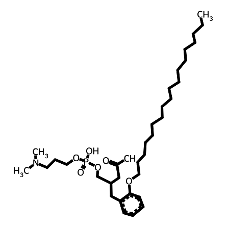 CCCCCCCCCCCCCCCCCCOc1ccccc1CC(COP(=O)(O)OCCCN(C)C)CC(C)=O